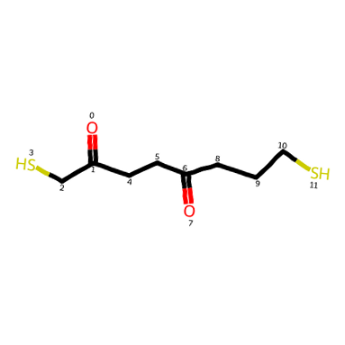 O=C(CS)CCC(=O)CCCS